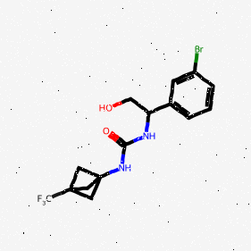 O=C(NC(CO)c1cccc(Br)c1)NC12CC(C(F)(F)F)(C1)C2